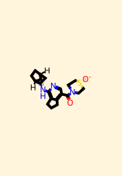 O=C(c1cnc(N[C@@H]2C[C@H]3CC[C@@H]2C3)c2c1CCC2)N1CC[S+]([O-])CC1